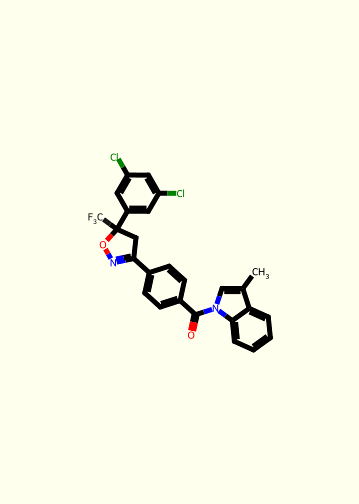 Cc1cn(C(=O)c2ccc(C3=NOC(c4cc(Cl)cc(Cl)c4)(C(F)(F)F)C3)cc2)c2ccccc12